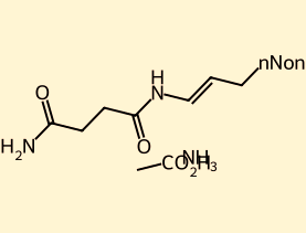 CC(=O)O.CCCCCCCCCCC=CNC(=O)CCC(N)=O.N